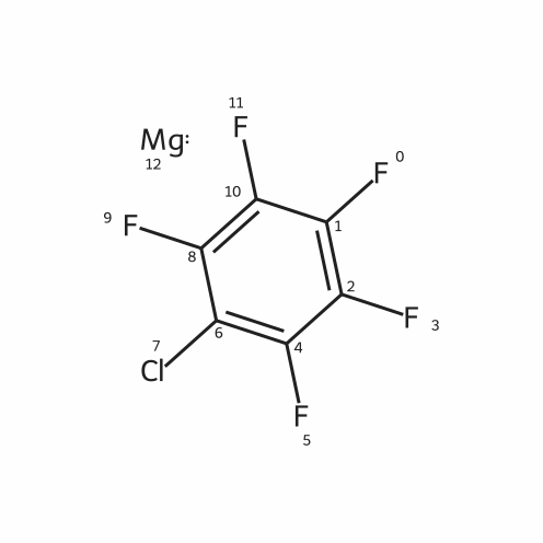 Fc1c(F)c(F)c(Cl)c(F)c1F.[Mg]